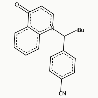 CCC(C)C(c1ccc(C#N)cc1)n1ccc(=O)c2ccccc21